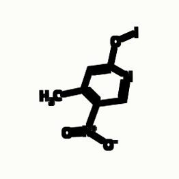 Cc1cc(OI)ncc1[N+](=O)[O-]